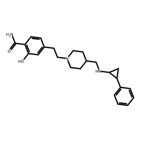 NC(=O)c1ccc(CCN2CCC(CNC3CC3c3ccccc3)CC2)cc1O